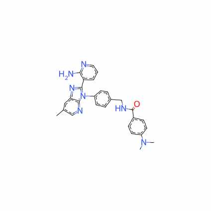 Cc1cnc2c(c1)nc(-c1cccnc1N)n2-c1ccc(CNC(=O)c2ccc(N(C)C)cc2)cc1